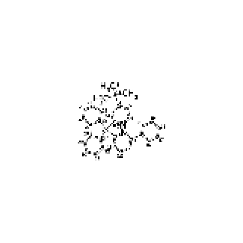 CC(C)(C)c1ccnc(C2(c3cccc(-c4ccccc4)n3)c3ccccc3-c3ccccc32)c1